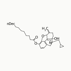 C=C1CCC2(O)C3Cc4ccc(OC(=O)CCCCCCCCCCCCCCCCC)c5c4C2(CCN3CC2CC2)C1O5